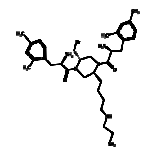 Cc1ccc(C[C@@H](N)C(=O)N2C[C@H](CCCCNCCN)N(C(=O)[C@@H](N)Cc3ccc(C)cc3C)C[C@H]2CC(C)C)c(C)c1